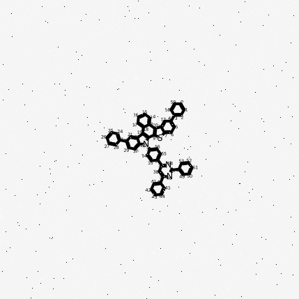 c1ccc(-c2ccc3sc4c(c3c2)c2ccccc2c2c3cc(-c5ccccc5)ccc3n(-c3ccc(-c5cc(-c6ccccc6)nc(-c6ccccc6)n5)cc3)c42)cc1